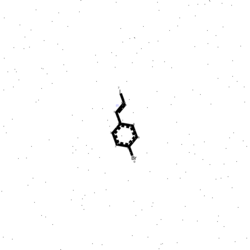 Brc1ccc(/C=C/I)cc1